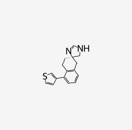 C1=N[C@@]2(CCc3c(cccc3-c3ccsc3)C2)CN1